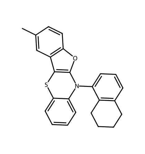 Cc1ccc2oc3c(c2c1)Sc1ccccc1N3c1cccc2c1CCCC2